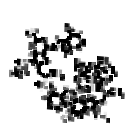 Cc1c(C[C@H](C)N)sc2c(NCc3c(F)cncc3F)nc(Cl)nc12.Cc1c(C[C@H](C)NC(=O)OC(C)(C)C)sc2c(N(Cc3c(F)cncc3F)C(=O)OC(C)(C)C)nc(Cl)nc12.Cl.Cl